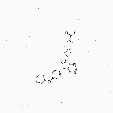 C=CC(=O)N1CCC2(CC1)CC(n1nc(-c3ccc(Oc4ccccc4)cc3)c3cncnc31)C2